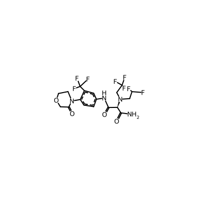 NC(=O)[C@@H](C(=O)Nc1ccc(N2CCOCC2=O)c(C(F)(F)F)c1)N(CC(F)F)CC(F)(F)F